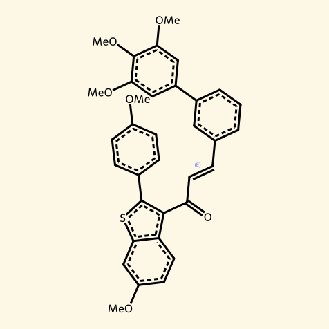 COc1ccc(-c2sc3cc(OC)ccc3c2C(=O)/C=C/c2cccc(-c3cc(OC)c(OC)c(OC)c3)c2)cc1